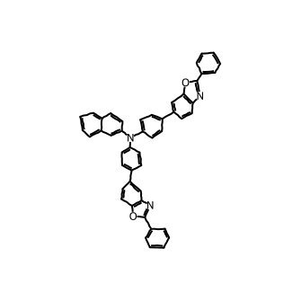 c1ccc(-c2nc3cc(-c4ccc(N(c5ccc(-c6ccc7nc(-c8ccccc8)oc7c6)cc5)c5ccc6ccccc6c5)cc4)ccc3o2)cc1